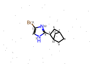 Brc1c[nH]c([C@H]2CC3CCC2C3)n1